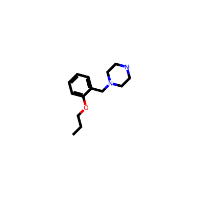 CCCOc1ccccc1CN1CC[N]CC1